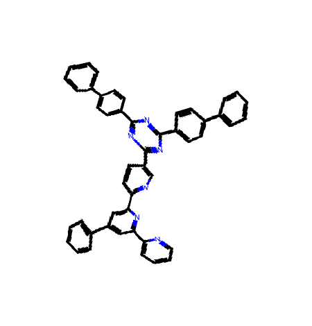 c1ccc(-c2ccc(-c3nc(-c4ccc(-c5ccccc5)cc4)nc(-c4ccc(-c5cc(-c6ccccc6)cc(-c6ccccn6)n5)nc4)n3)cc2)cc1